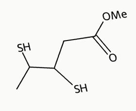 COC(=O)CC(S)C(C)S